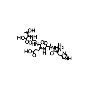 C[C@@H](O)[C@H](NC(=O)CNC(=O)[C@H](CCC(=O)O)NC(=O)C(C)(C)NC(=O)[C@@H](N)Cc1c[nH]cn1)C(=O)O